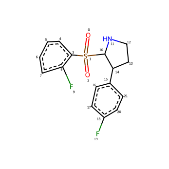 O=S(=O)(c1ccccc1F)C1NCCC1c1ccc(F)cc1